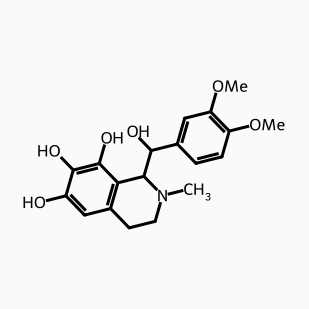 COc1ccc(C(O)C2c3c(cc(O)c(O)c3O)CCN2C)cc1OC